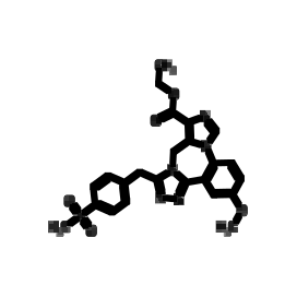 CCOC(=O)c1ncn2c1Cn1c(Cc3ccc(S(C)(=O)=O)cc3)nnc1-c1cc(OC)ccc1-2